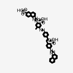 Cc1cc(-n2n3c4ccc5cc(S(=O)(=O)O)ccc5c4n23)c(S(=O)(=O)O)cc1N=Nc1ccc(C=Cc2ccc(-n3n4c5ccc6ccccc6c5n34)cc2S(=O)(=O)O)cc1